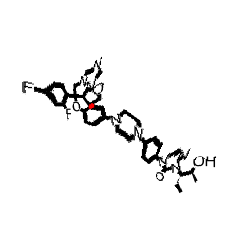 CC[C@@H]([C@H](C)O)n1ncn(-c2ccc(N3CCN(c4ccc(OC(Cn5cncn5)(c5ccc(F)cc5F)C5CCOC5)cc4)CC3)cc2)c1=O